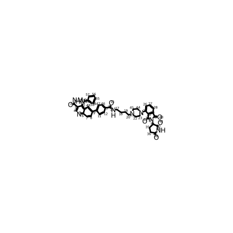 CNC(=O)c1cnc2ccc(-c3ccc(C(=O)NCCCCN4CCN(c5cccc6c5C(=O)N(C5CCC(=O)NC5=O)C6=O)CC4)cc3)cc2c1Nc1ccccc1